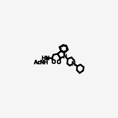 CC(=O)NNC(=O)CC1C(=O)N(C2CCN(C3CCCCC3)CC2)c2ccccc21